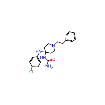 NC(=O)NC1(Nc2ccc(Cl)cc2)CCN(CCc2ccccc2)CC1